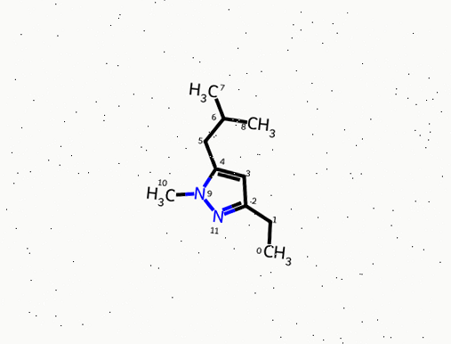 CCc1cc(CC(C)C)n(C)n1